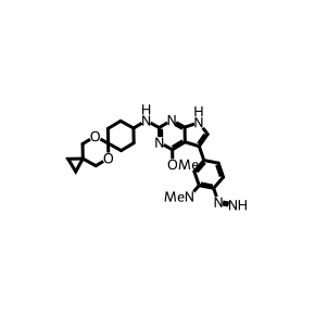 CNc1cc(-c2c[nH]c3nc(NC4CCC5(CC4)OCC4(CC4)CO5)nc(OC)c23)ccc1N=N